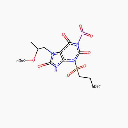 CCCCCCCCCCCCS(=O)(=O)n1c(=O)n(P(=O)=O)c(=O)c2c1[nH]c(=O)n2CC(C)OCCCCCCCCCC